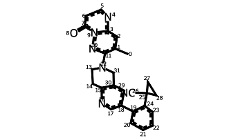 Cc1cc2nccc(=O)n2nc1N1CCc2ncc(-c3ccccc3C3(C#N)CC3)cc2C1